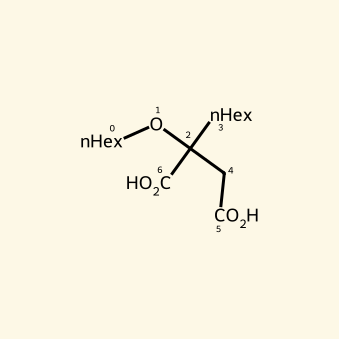 CCCCCCOC(CCCCCC)(CC(=O)O)C(=O)O